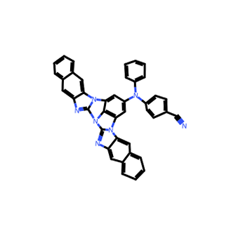 N#Cc1ccc(N(c2ccccc2)c2cc3c4c(c2)n2c5cc6ccccc6cc5nc2n4c2nc4cc5ccccc5cc4n32)cc1